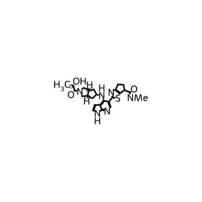 CNC(=O)C1CCc2nc(-c3cnc4[nH]ccc4c3NC3C[C@@H]4CN(C(=O)[C@H](C)O)C[C@@H]4C3)sc21